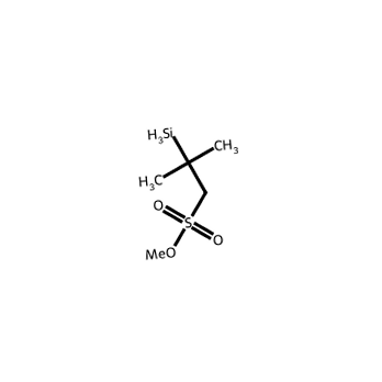 COS(=O)(=O)CC(C)(C)[SiH3]